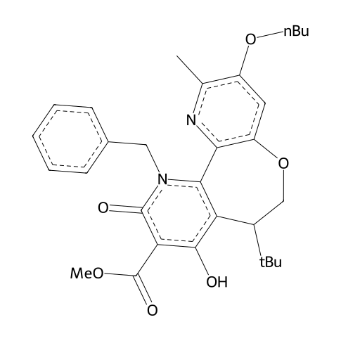 CCCCOc1cc2c(nc1C)-c1c(c(O)c(C(=O)OC)c(=O)n1Cc1ccccc1)C(C(C)(C)C)CO2